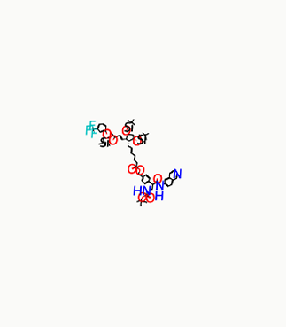 CC(C)(C)OC(=O)NCC(C(=O)Nc1ccc2cnccc2c1)c1ccc(COC(=O)CCCC=CC[C@@H]2[C@@H](C=CC(COc3cccc(C(F)(F)F)c3)O[Si](C)(C)C(C)(C)C)[C@H](O[Si](C)(C)C(C)(C)C)C[C@@H]2O[Si](C)(C)C(C)(C)C)cc1